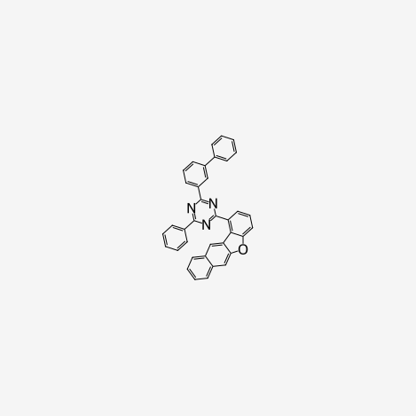 c1ccc(-c2cccc(-c3nc(-c4ccccc4)nc(-c4cccc5oc6cc7ccccc7cc6c45)n3)c2)cc1